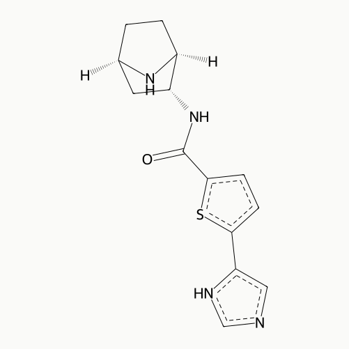 O=C(N[C@@H]1C[C@H]2CC[C@@H]1N2)c1ccc(-c2cnc[nH]2)s1